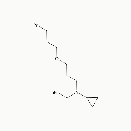 CC(C)CCCOCCCN(CC(C)C)C1CC1